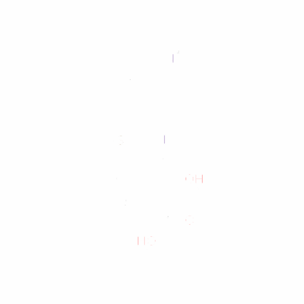 Cc1cc(I)cc(I)c1Sc1ccc(C(=O)O)c(O)c1